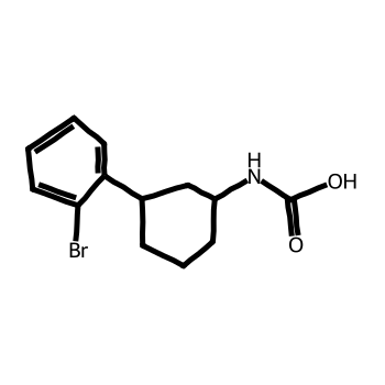 O=C(O)NC1CCCC(c2ccccc2Br)C1